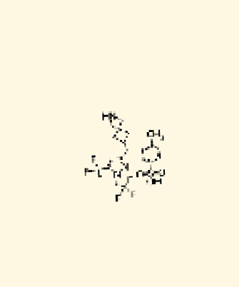 Cc1ccc(S(=O)(=O)O)cc1.FC(F)(F)Cn1nc(CC2CC3(CNC3)C2)cc1C(F)(F)F